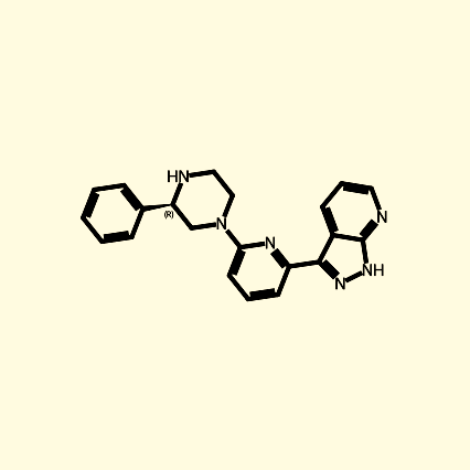 c1ccc([C@@H]2CN(c3cccc(-c4n[nH]c5ncccc45)n3)CCN2)cc1